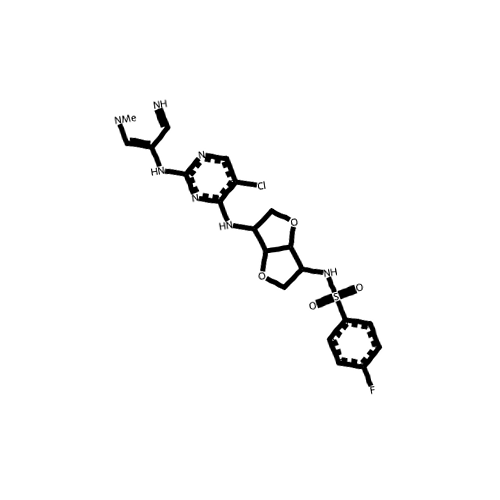 CN/C=C(\C=N)Nc1ncc(Cl)c(NC2COC3C(NS(=O)(=O)c4ccc(F)cc4)COC23)n1